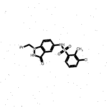 Cc1c(Cl)cccc1S(=O)(=O)Nc1ccc2c(c1)c(=O)[nH]n2CC(C)C